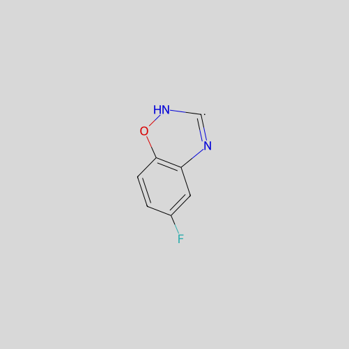 Fc1ccc2c(c1)N=[C]NO2